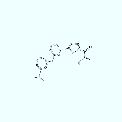 CCC(C)C(=O)c1ccc(-c2cccc(Cc3cccc(C(C)C)c3)c2)s1